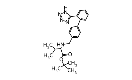 CC(C)[C@H](NCc1ccc(-c2ccccc2-c2nnn[nH]2)cc1)C(=O)OC(C)(C)C